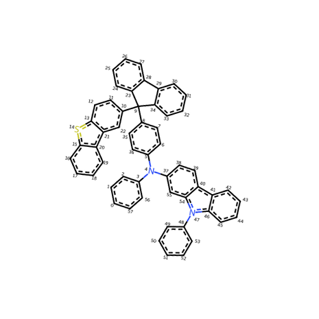 c1ccc(N(c2ccc(C3(c4ccc5sc6ccccc6c5c4)c4ccccc4-c4ccccc43)cc2)c2ccc3c4ccccc4n(-c4ccccc4)c3c2)cc1